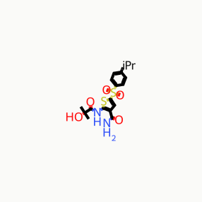 CC(C)c1ccc(S(=O)(=O)c2cc(C(N)=O)c(NC(=O)C(C)(C)O)s2)cc1